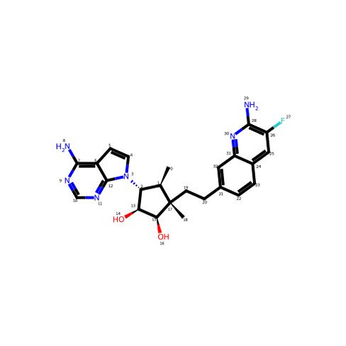 C[C@@H]1[C@@H](n2ccc3c(N)ncnc32)[C@H](O)[C@H](O)[C@@]1(C)CCc1ccc2cc(F)c(N)nc2c1